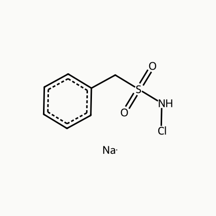 O=S(=O)(Cc1ccccc1)NCl.[Na]